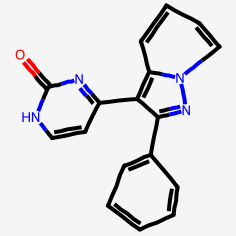 O=c1nc(-c2c(-c3ccccc3)nn3ccccc23)cc[nH]1